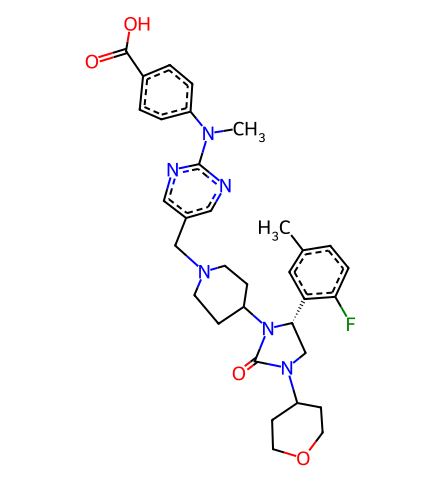 Cc1ccc(F)c([C@@H]2CN(C3CCOCC3)C(=O)N2C2CCN(Cc3cnc(N(C)c4ccc(C(=O)O)cc4)nc3)CC2)c1